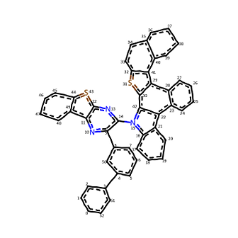 c1ccc(-c2cccc(-c3nc4c(nc3-n3c5ccccc5c5c6ccccc6c6c(sc7ccc8ccccc8c76)c53)sc3ccccc34)c2)cc1